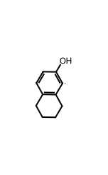 Oc1[c]c2c(cc1)CCCC2